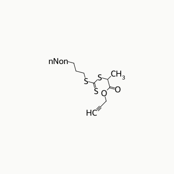 C#CCOC(=O)C(C)SC(=S)SCCCCCCCCCCCC